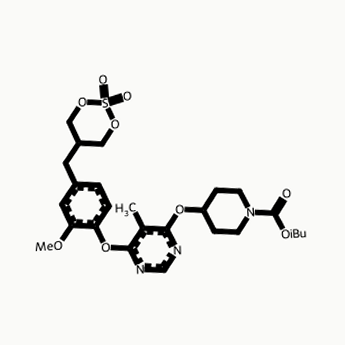 COc1cc(CC2COS(=O)(=O)OC2)ccc1Oc1ncnc(OC2CCN(C(=O)OCC(C)C)CC2)c1C